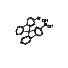 OB(O)c1ccc2c(c1)C1(c3ccccc3-c3ccc(Br)cc31)c1ccccc1-2